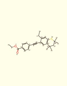 CCOC(=O)c1ccc(C#Cc2cc3c(cc2CC)SC(C)(C)CC3(C)C)cc1